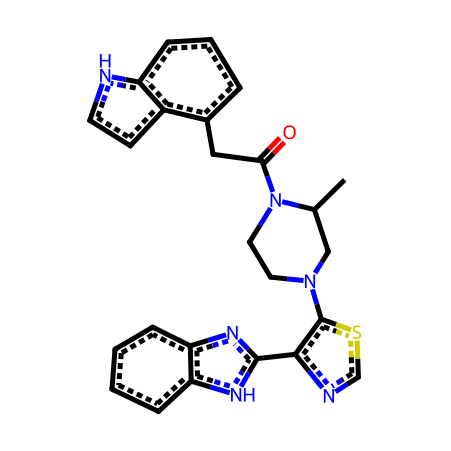 CC1CN(c2scnc2-c2nc3ccccc3[nH]2)CCN1C(=O)Cc1cccc2[nH]ccc12